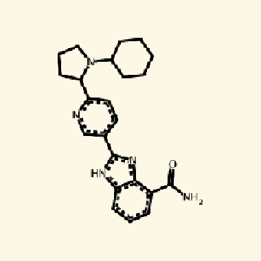 NC(=O)c1cccc2[nH]c(-c3ccc(C4CCCN4C4CCCCC4)nc3)nc12